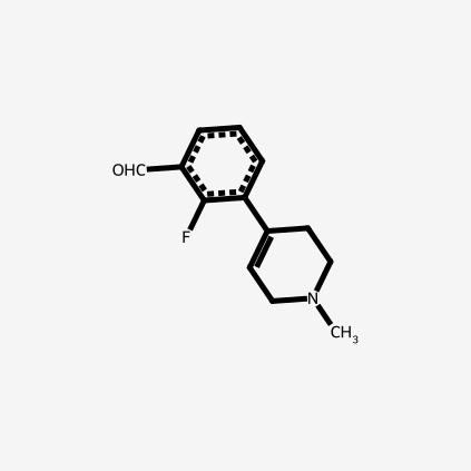 CN1CC=C(c2cccc(C=O)c2F)CC1